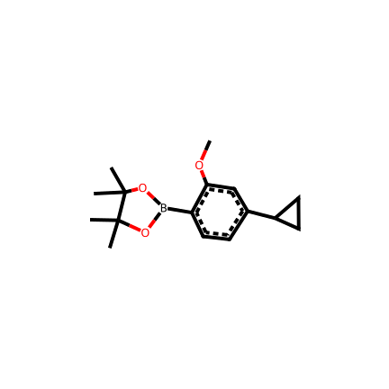 COc1cc(C2CC2)ccc1B1OC(C)(C)C(C)(C)O1